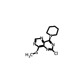 CSc1ncnc2c(N3CCCCC3)nc(Cl)nc12